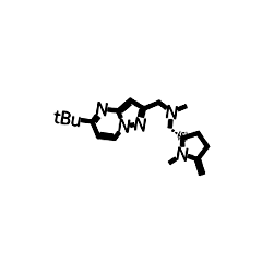 C=C1CC[C@@H](CN(C)Cc2cc3nc(C(C)(C)C)ccn3n2)N1C